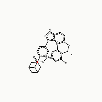 C[C@@H](Oc1ccc2[nH]nc(-c3ccc(N4CC5CC(C4)N5C(=O)OC(C)(C)C)nc3)c2c1)c1c(Cl)cncc1Cl